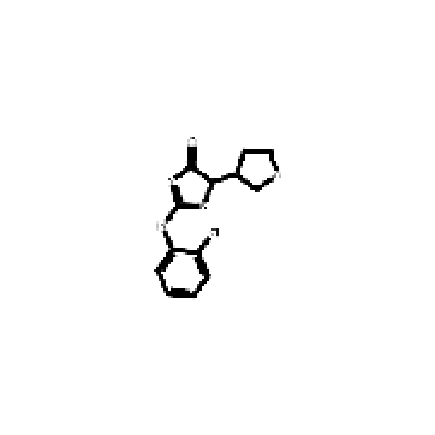 O=C1N=C(Nc2ccccc2Cl)SC1C1CCOC1